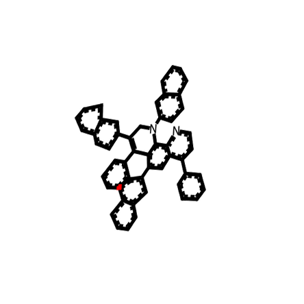 c1ccc(C2=C(c3ccc4ccccc4c3)CN(c3ccc4ccccc4c3)c3c2c(-c2ccc4ccccc4c2)cc2c(-c4ccccc4)ccnc32)cc1